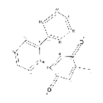 CC1=CC(=O)C=CC1=O.c1ccc(-c2ccccc2)cc1